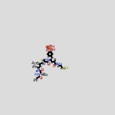 CC[C@H](C)[C@H](NC(=O)CC(C)C)C(=O)N(C)[C@H](C[C@@H](OC(C)=O)c1nc(C(=O)N[C@@H](Cc2ccc(OP(=O)(O)O)cc2)CC(C)C(=O)NCCCS)cs1)C(C)C